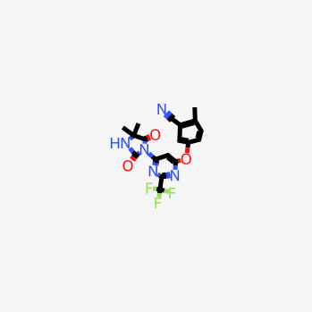 Cc1ccc(Oc2cc(N3C(=O)NC(C)(C)C3=O)nc(C(F)(F)F)n2)cc1C#N